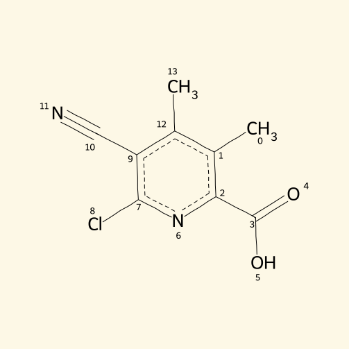 Cc1c(C(=O)O)nc(Cl)c(C#N)c1C